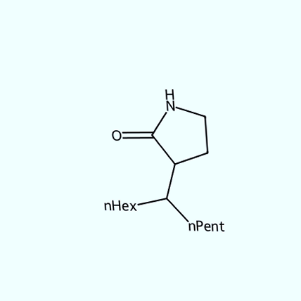 CCCCCCC(CCCCC)C1CCNC1=O